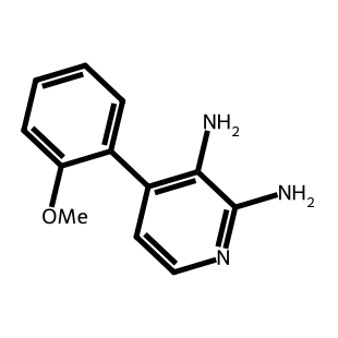 COc1ccccc1-c1ccnc(N)c1N